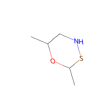 CC1CNSC(C)O1